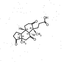 C[C@]1(CCC(=O)O)C(=O)CC[C@@H]2[C@@H]1C(=O)C[C@]1(C)C(=O)CC[C@@H]21